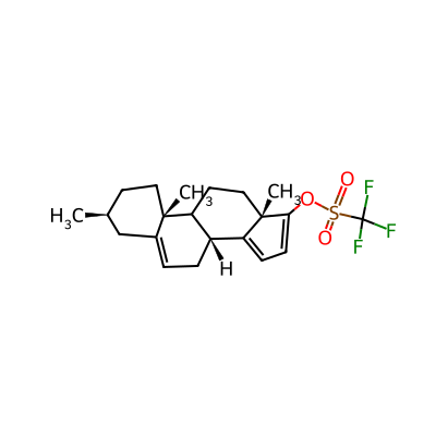 C[C@H]1CC[C@@]2(C)C(=CC[C@H]3C4=CC=C(OS(=O)(=O)C(F)(F)F)[C@@]4(C)CCC32)C1